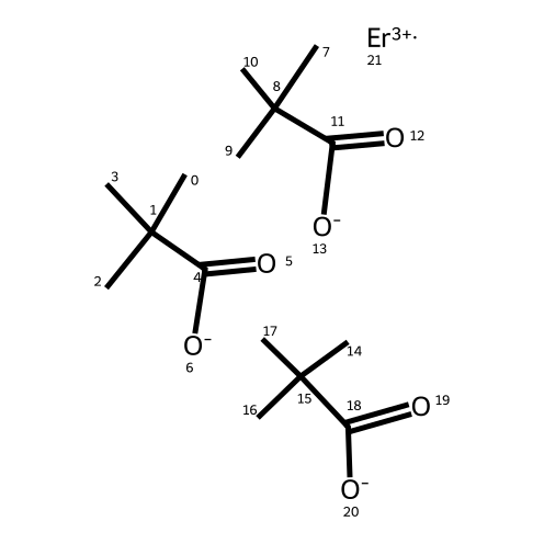 CC(C)(C)C(=O)[O-].CC(C)(C)C(=O)[O-].CC(C)(C)C(=O)[O-].[Er+3]